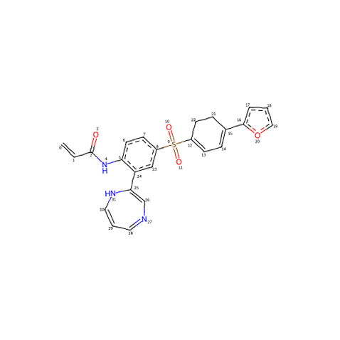 C=CC(=O)Nc1ccc(S(=O)(=O)C2=CC=C(c3ccco3)CC2)cc1C1=CN=CC=CN1